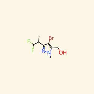 CC(c1nn(C)c(CO)c1Br)C(F)F